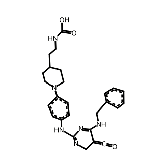 O=C=C1CN=C(Nc2ccc(N3CCC(CCNC(=O)O)CC3)cc2)N=C1NCc1ccccc1